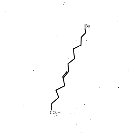 CCC(C)CCCCCCC=CCCCCC(=O)O